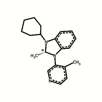 Cc1ccncc1N1c2ccccc2N(C2CCCCC2)[C@H]1C